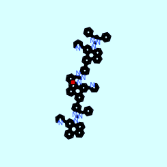 c1ccc(-c2cc(-c3ccccc3)nc(-n3c4cc(-c5ccccn5)cc5c4c4c6c(cccc6ccc43)-c3cc(-c4ccc6nc(-n7c8cc(-c9ccccn9)cc9c8c8c%10c(cccc%10ccc87)-c7cc(-c8ccc%10nc(-n%11c%12cc(-c%13ccccn%13)cc%13c%12c%12c%14c(cccc%14ccc%12%11)-c%11ccccc%11-%13)nc(-c%11ccccc%11)c%10c8)ccc7-9)c(-c7ccccc7)nc6c4)ccc3-5)n2)cc1